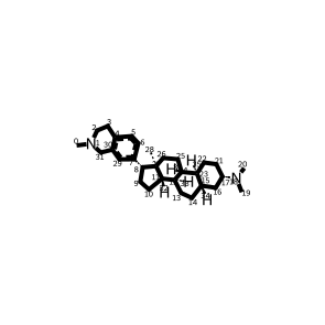 CN1CCc2ccc([C@H]3CC[C@H]4[C@@H]5CC[C@H]6C[C@@H](N(C)C)CC[C@@H]6[C@H]5CC[C@]34C)cc2C1